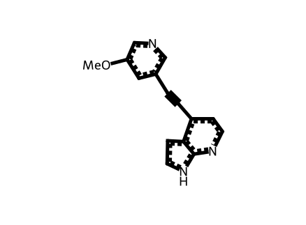 COc1cncc(C#Cc2ccnc3[nH]ccc23)c1